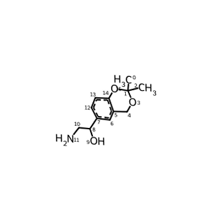 CC1(C)OCc2cc(C(O)CN)ccc2O1